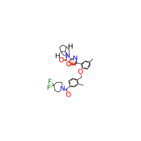 Cc1ccc(OCc2ccc(C(=O)N3CCC(F)(F)CC3)cc2C)c(-c2csc(N3C[C@H]4CC[C@@H](C3)C4CC(=O)O)n2)c1